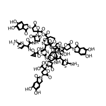 Nc1nc(/C(=N/OC2(C(=O)OC(=O)C3(N4OC[C@H](NC(=O)/C(=N\OC5(C(=O)O)CC5)c5csc(N)n5)C4=O)C[C@H](N4Cc5cc(O)c(O)cc5C4=O)C(=O)O3)CCOC(OC(=O)C3(O/N=C(\C(=O)N[C@H]4CON(C5(C(=O)O)C[C@H](N6Cc7cc(O)c(O)cc7C6=O)C(=O)O5)C4=O)c4csc(N)n4)CC4CCC(C3)O4)C2)C(=O)N[C@H]2CON(C3(C(=O)O)C[C@H](N4Cc5cc(O)c(O)cc5C4=O)C(=O)O3)C2=O)cs1